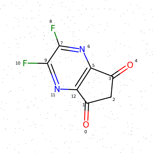 O=C1CC(=O)c2nc(F)c(F)nc21